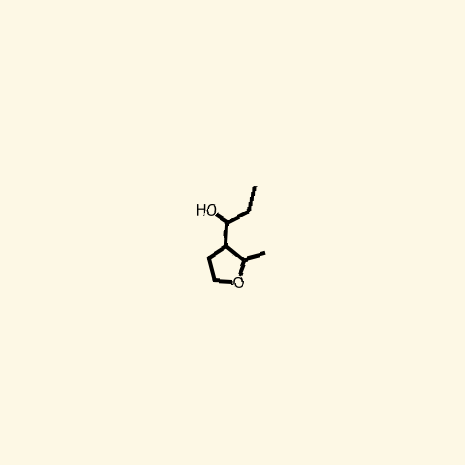 CCC(O)C1CCOC1C